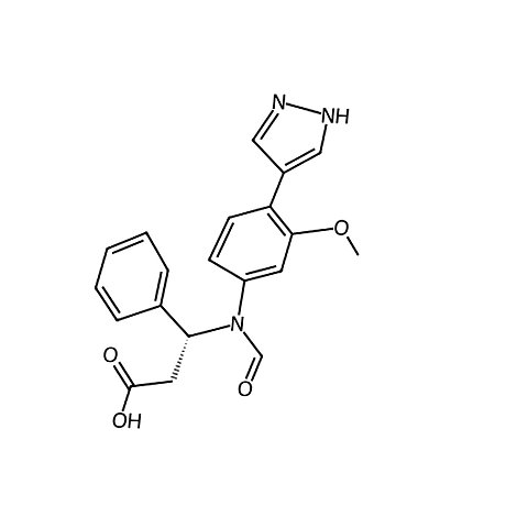 COc1cc(N(C=O)[C@H](CC(=O)O)c2ccccc2)ccc1-c1cn[nH]c1